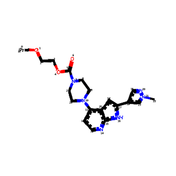 CC(C)OCCOC(=O)N1CCN(c2ccnc3[nH]c(-c4cnn(C)c4)cc23)CC1